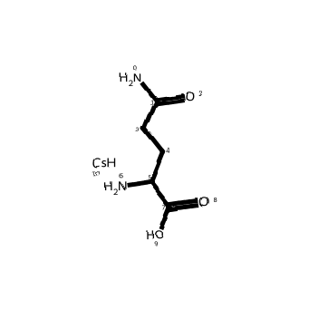 NC(=O)CCC(N)C(=O)O.[CsH]